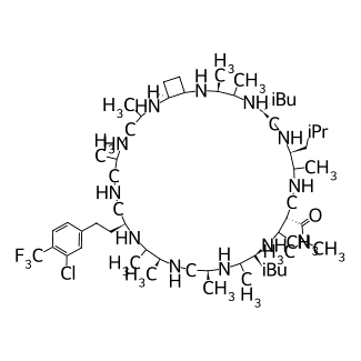 CC[C@H](C)[C@@H]1NC(C)[C@@H](C(=O)N(C)C)CNC(C)[C@H](CC(C)C)NC[C@H]([C@@H](C)CC)NC(C)[C@H](C)NC2CC[C@@H]2NC(C)CNC(C)CNC[C@H](CCc2ccc(C(F)(F)F)c(Cl)c2)NC(C)[C@H](C)NC[C@H](C)NC1C